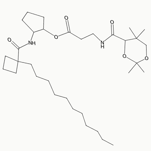 CCCCCCCCCCCC1(C(=O)NC2CCCC2OC(=O)CCNC(=O)C2OC(C)(C)OCC2(C)C)CCC1